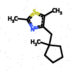 Cc1nc(CC2(C)CCCC2)c(C)s1